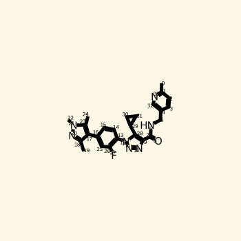 Cc1ccc(CNC(=O)c2nnn(-c3ccc(-c4c(C)nn(C)c4C)cc3F)c2C2CC2)cn1